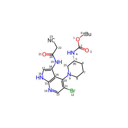 CC(C)(C)OC(=O)N[C@@H]1CCCN(c2c(Br)cnc3[nH]cc(NC(=O)CC#N)c23)C1